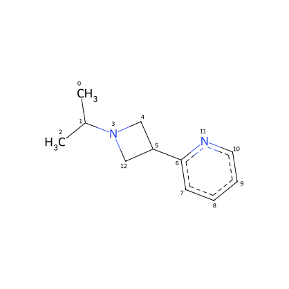 CC(C)N1CC(c2ccccn2)C1